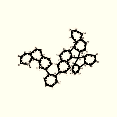 c1ccc(-c2ccc3ccc4cccnc4c3n2)c(-c2ccc3c4c(ccc3c2)-c2c(ccc3ccccc23)C42c3ccccc3-c3ccccc32)c1